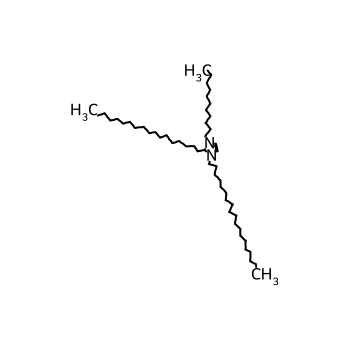 CCCCCCCCCCCCCCCCCCCN1C=CN(CCCCCCCCCCC)C1CCCCCCCCCCCCCCCCCC